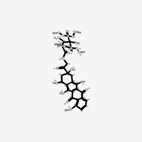 COOP(=O)(OOC)C(O)(C(C)NC(=O)OCC(=O)C1(O)Cc2c(O)c3c(c(O)c2C(O)C1)C(=O)c1c(OC)cccc1C3=O)P(=O)(OOC)OOC